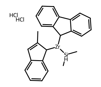 CC1=Cc2ccccc2[CH]1[Zr]([CH]1c2ccccc2-c2ccccc21)[SiH](C)C.Cl.Cl